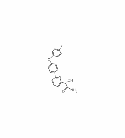 NC(=O)[C@@H](O)c1cccc(-c2ccc(Oc3ccc(F)cc3)cc2)n1